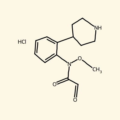 CON(C(=O)C=O)c1ccccc1C1CCNCC1.Cl